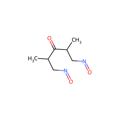 CC(CN=O)C(=O)C(C)CN=O